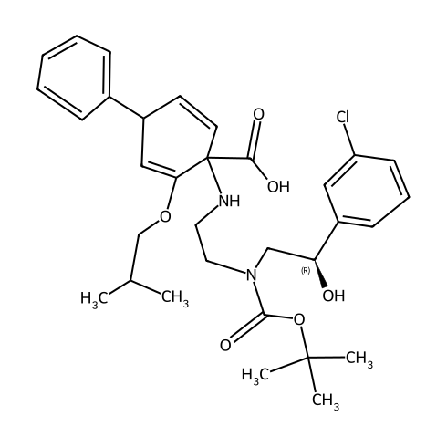 CC(C)COC1=CC(c2ccccc2)C=CC1(NCCN(C[C@H](O)c1cccc(Cl)c1)C(=O)OC(C)(C)C)C(=O)O